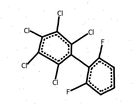 Fc1cccc(F)c1-c1c(Cl)c(Cl)c(Cl)c(Cl)c1Cl